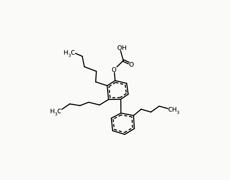 CCCCCc1c(OC(=O)O)ccc(-c2ccccc2CCCC)c1CCCCC